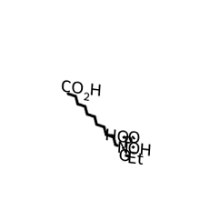 CCON(CCCCCCCCCCCC(=O)O)P(=O)(O)O